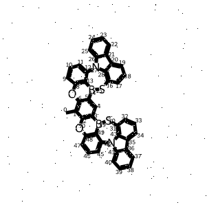 Cc1c2c(cc3c1Oc1cccc4c1B3Sc1cccc3c5ccccc5n-4c13)B1Sc3cccc4c5ccccc5n(c34)-c3cccc(c31)O2